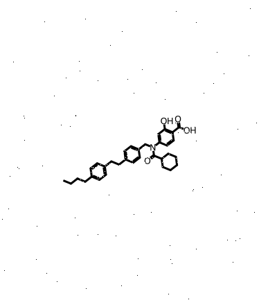 CCCCc1ccc(CCc2ccc(CN(C(=O)C3CCCCC3)c3ccc(C(=O)O)c(O)c3)cc2)cc1